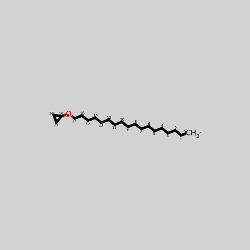 [CH2]CCCCCCCCCCCCCCCCCOC1[CH]C1